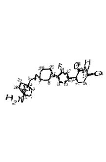 NC12CCC(CN3CCN(c4ccc(C5CCC(=O)NC5=O)cc4F)CC3)(CC1)OC2